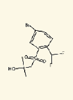 CC(C)(O)CS(=O)(=O)c1cc(Br)ccc1C(F)F